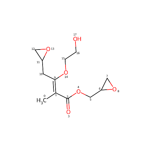 CC(C(=O)OCC1CO1)=C(CC1CO1)OCCO